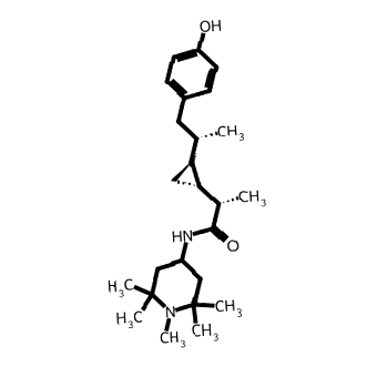 C[C@H](C(=O)NC1CC(C)(C)N(C)C(C)(C)C1)[C@@H]1C[C@H]1[C@@H](C)Cc1ccc(O)cc1